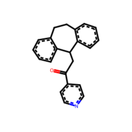 O=C(CC1c2ccccc2CCc2ccccc21)c1ccncc1